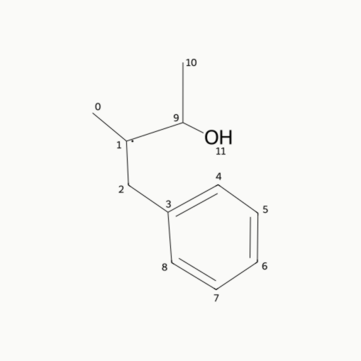 C[C](Cc1ccccc1)C(C)O